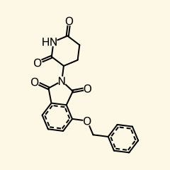 O=C1CCC(N2C(=O)c3cccc(OCc4ccccc4)c3C2=O)C(=O)N1